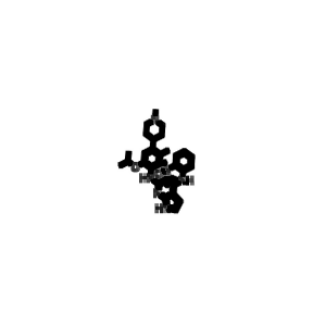 Cc1cc(Nc2cc(Nc3ccccc3[SH](C)(=O)C(C)C)c3cc[nH]c3n2)c(OC(C)C)cc1C1CCN(C)CC1